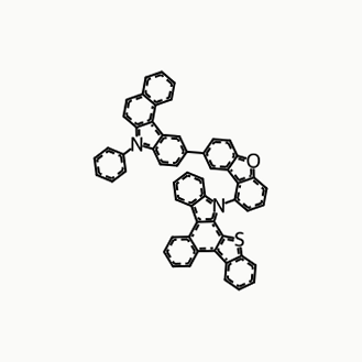 c1ccc(-n2c3ccc(-c4ccc5oc6cccc(-n7c8ccccc8c8c9ccccc9c9c%10ccccc%10sc9c87)c6c5c4)cc3c3c4ccccc4ccc32)cc1